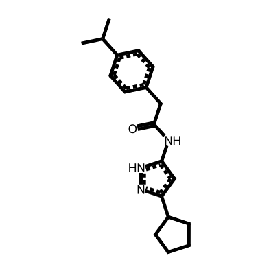 CC(C)c1ccc(CC(=O)Nc2cc(C3CCCC3)n[nH]2)cc1